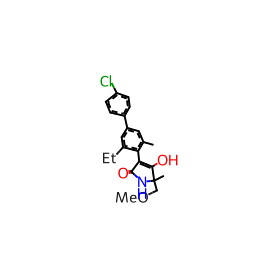 CCc1cc(-c2ccc(Cl)cc2)cc(C)c1C1=C(O)C(C)(COC)NC1=O